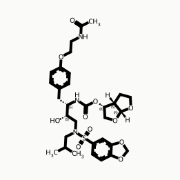 CC(=O)NCCOc1ccc(C[C@H](NC(=O)O[C@H]2CO[C@H]3OCC[C@H]32)[C@@H](O)CN(CC(C)C)S(=O)(=O)c2ccc3c(c2)OCO3)cc1